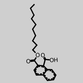 CCCCCCCCCCOC(=O)c1ccc2ccccc2c1C(=O)O